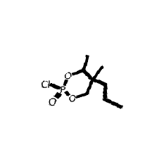 CCCC1(C)COP(=O)(Cl)OC1C